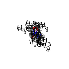 CC(C)(C)c1ccc(N2c3cc4ccccc4c4c3B(c3ccc5c(oc6cc7c(cc65)C(C)(C)CCC7(C)C)c32)N2c3c-4cc(C(C)(C)C)cc3C3(C)CCCCC23C)c(-c2ccccc2)c1